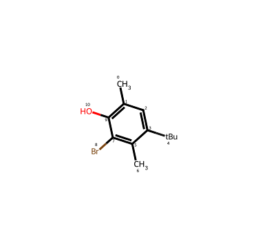 Cc1cc(C(C)(C)C)c(C)c(Br)c1O